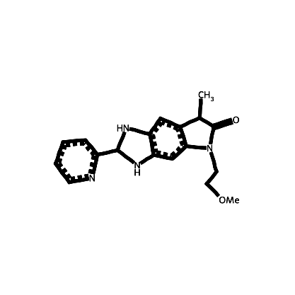 COCCN1C(=O)C(C)c2cc3c(cc21)NC(c1ccccn1)N3